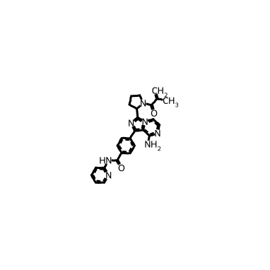 C=C(C)C(=O)N1CCCC1c1nc(-c2ccc(C(=O)Nc3ccccn3)cc2)c2c(N)nccn12